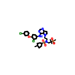 Cc1ccc(S(=O)(=O)N(CCn2ccc3ncnc(Nc4ccc(Oc5cccc(Cl)c5)c(Cl)c4)c32)CC(C)(C)S(C)(=O)=O)cc1